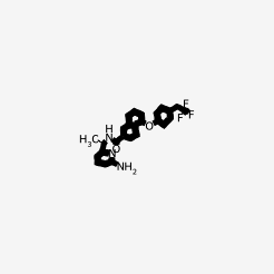 C[C@H](NC(=O)c1ccc2c(Oc3ccc(CC(F)(F)F)cc3)cccc2c1)c1cccc(N)n1